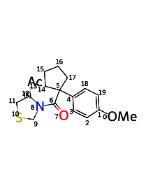 COc1ccc(C2(C(=O)N3CSC[C@@H]3C(C)=O)CCCC2)cc1